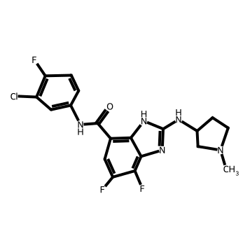 CN1CCC(Nc2nc3c(F)c(F)cc(C(=O)Nc4ccc(F)c(Cl)c4)c3[nH]2)C1